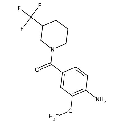 COc1cc(C(=O)N2CCCC(C(F)(F)F)C2)ccc1N